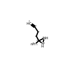 C#CCCC1(CCC)NN1